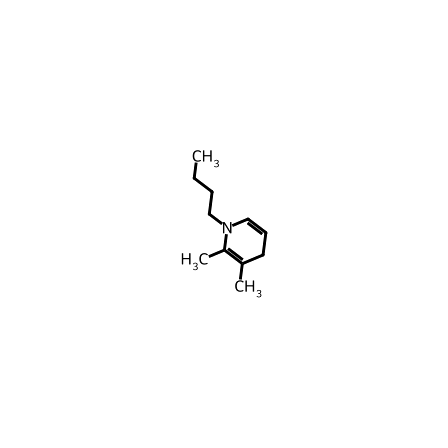 CCCCN1C=CCC(C)=C1C